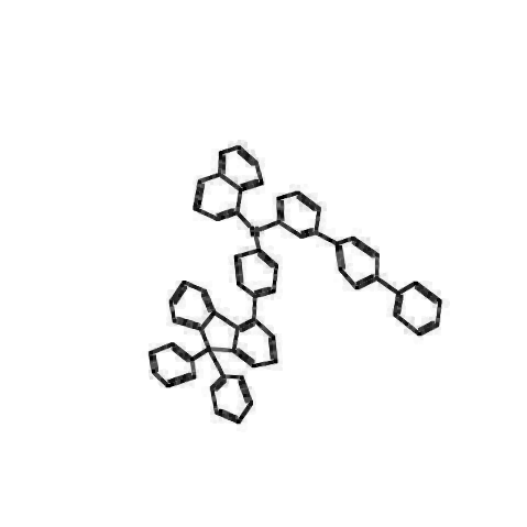 c1ccc(-c2ccc(-c3cccc(N(c4ccc(-c5cccc6c5-c5ccccc5C6(c5ccccc5)c5ccccc5)cc4)c4cccc5ccccc45)c3)cc2)cc1